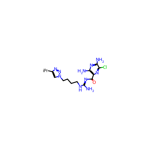 CC(C)c1cn(CCCCN/C(N)=N/C(=O)c2nc(Cl)c(N)nc2N)nn1